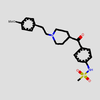 COc1ccc(CCN2CCC(C(=O)c3ccc(NS(C)(=O)=O)cc3)CC2)cc1